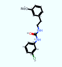 COc1cccc(CCNC(=O)Nc2cccc(Cl)c2)c1